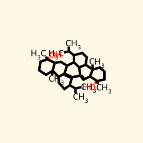 CC(C)C1CCC2C3=C1C1=CC4C(C)(O)CCCC4(C)C4CCC(C(C)C)C(C3CC3C(C)(O)CCCC23C)C14